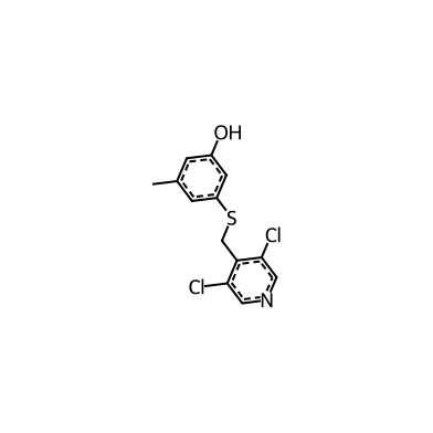 Cc1cc(O)cc(SCc2c(Cl)cncc2Cl)c1